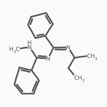 CCC(C)/N=C(\N=C(/NC)c1ccccc1)c1ccccc1